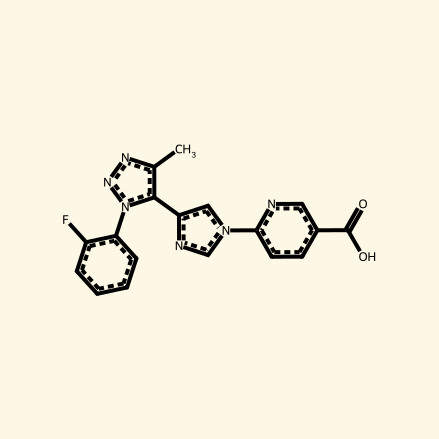 Cc1nnn(-c2ccccc2F)c1-c1cn(-c2ccc(C(=O)O)cn2)cn1